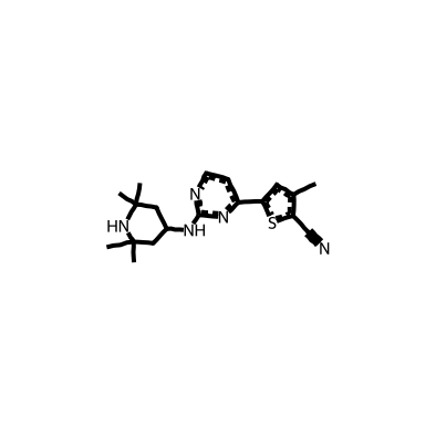 Cc1cc(-c2ccnc(NC3CC(C)(C)NC(C)(C)C3)n2)sc1C#N